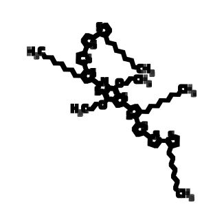 CCCCCCCCc1ccsc1-c1ccc(-c2ccc(-c3sc(-c4cc5c(OCCC)c6sc(-c7cc(CCCCCCCC)c(-c8ccc(-c9ccc(-c%10sccc%10CCCCCCCC)s9)s8)s7)nc6c(OCCC)c5s4)cc3CCCCCCCC)s2)s1